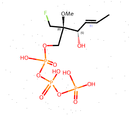 C/C=C/[C@H](O)[C@@](CF)(COP(=O)(O)OP(=O)(O)OP(=O)(O)O)OC